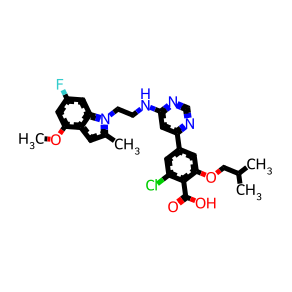 COc1cc(F)cc2c1cc(C)n2CCNc1cc(-c2cc(Cl)c(C(=O)O)c(OCC(C)C)c2)ncn1